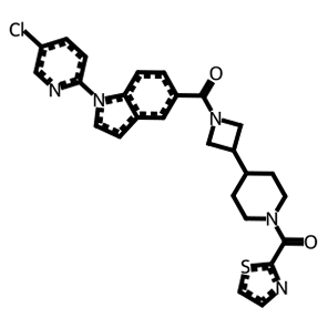 O=C(c1ccc2c(ccn2-c2ccc(Cl)cn2)c1)N1CC(C2CCN(C(=O)c3nccs3)CC2)C1